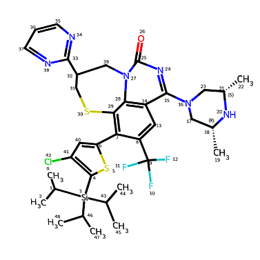 CC(C)[Si](c1sc(-c2c(C(F)(F)F)cc3c(N4C[C@@H](C)N[C@@H](C)C4)nc(=O)n4c3c2SCC(c2ncccn2)C4)cc1Cl)(C(C)C)C(C)C